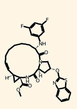 COC(=O)[C@@]12C[C@H]1/C=C\CCCCC[C@H](Nc1cc(F)cc(F)c1)C(=O)N1C[C@H](Oc3nc4ccccc4s3)C[C@H]1C(=O)N2